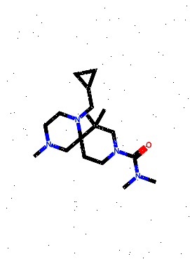 CN1CCN(CC2CC2)C2(CCN(C(=O)N(C)C)CC2(C)C)C1